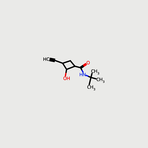 C#CC1CC(C(=O)NC(C)(C)C)C1O